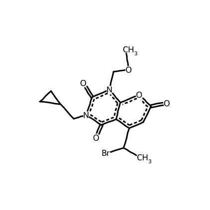 COCn1c(=O)n(CC2CC2)c(=O)c2c(C(C)Br)cc(=O)oc21